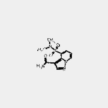 CN(C)S(=O)(=O)c1cccn2ncc(C(N)=O)c12